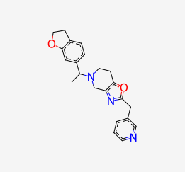 CC(c1ccc2c(c1)OCC2)N1CCc2oc(Cc3cccnc3)nc2C1